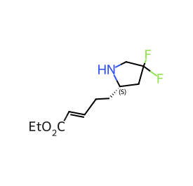 CCOC(=O)C=CCC[C@H]1CC(F)(F)CN1